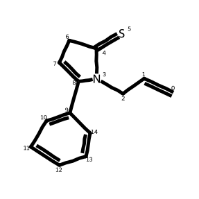 C=CCN1C(=S)CC=C1c1ccccc1